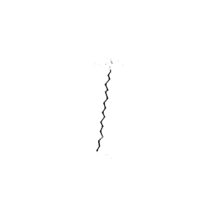 CCCCCCCCCCCCCCCCCCC[SiH](C)O